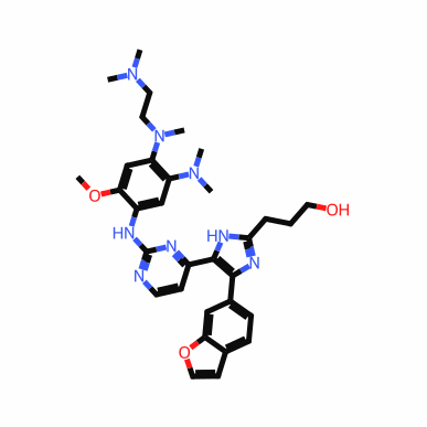 COc1cc(N(C)CCN(C)C)c(N(C)C)cc1Nc1nccc(-c2[nH]c(CCCO)nc2-c2ccc3ccoc3c2)n1